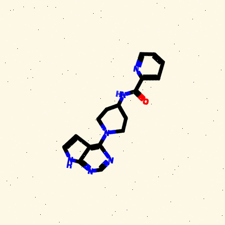 O=C(NC1CCN(c2ncnc3[nH]ccc23)CC1)c1ccccn1